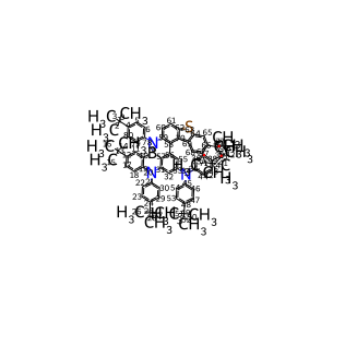 CC(C)(C)c1ccc(N2B3c4cc(C(C)(C)C)ccc4N(c4ccc(C(C)(C)C)cc4)c4cc(N(c5ccc(C(C)(C)C)cc5)c5ccc(C(C)(C)C)cc5)cc(c43)-c3c2ccc2sc4cc5c(cc4c32)C(C)(C)CCC5(C)C)cc1